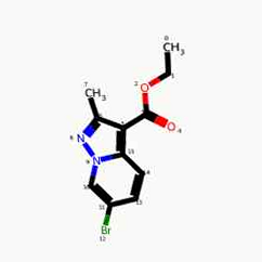 CCOC(=O)c1c(C)nn2cc(Br)ccc12